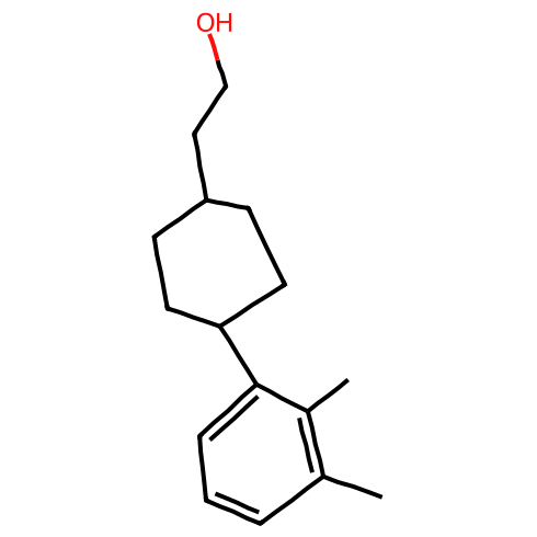 Cc1cccc(C2CCC(CCO)CC2)c1C